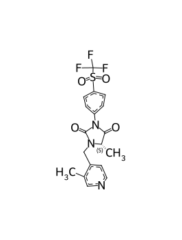 Cc1cnccc1CN1C(=O)N(c2ccc(S(=O)(=O)C(F)(F)F)cc2)C(=O)[C@@H]1C